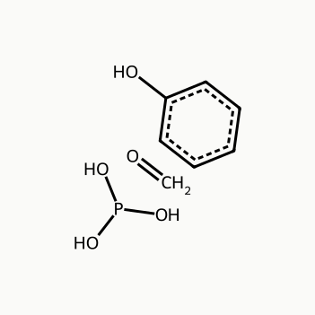 C=O.OP(O)O.Oc1ccccc1